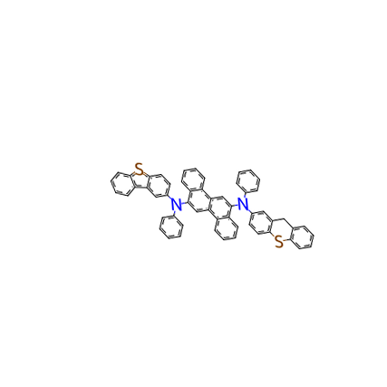 c1ccc(N(c2ccc3c(c2)Cc2ccccc2S3)c2cc3c4ccccc4c(N(c4ccccc4)c4ccc5sc6ccccc6c5c4)cc3c3ccccc23)cc1